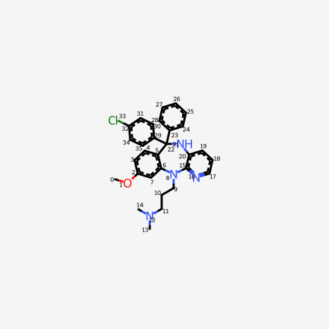 COc1ccc2c(c1)N(CCCN(C)C)c1ncccc1NC2(c1ccccc1)c1ccc(Cl)cc1